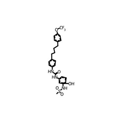 CS(=O)(=O)Nc1cc(NC(=O)Nc2ccc(CCCCc3ccc(OC(F)(F)F)cc3)cc2)ccc1O